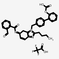 CCCCc1nc2c(n1Cc1ccc(-c3ccccc3OC(=O)O)cc1)CC(=NC(=O)c1ccccc1C=O)C=C2.O=C(O)C(F)(F)F